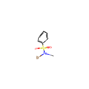 CN(Br)S(=O)(=O)c1ccccc1